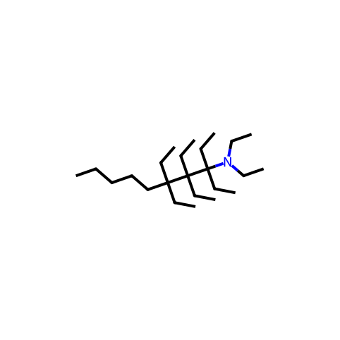 CCCCCC(CC)(CC)C(CC)(CC)C(CC)(CC)N(CC)CC